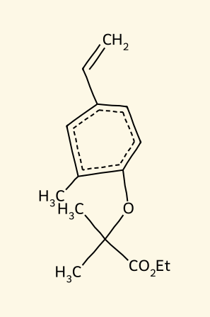 C=Cc1ccc(OC(C)(C)C(=O)OCC)c(C)c1